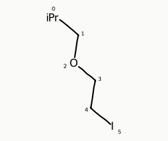 CC(C)COCCI